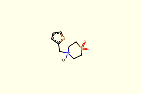 C[N+]1(Cc2cccs2)CCS(=O)(=O)CC1